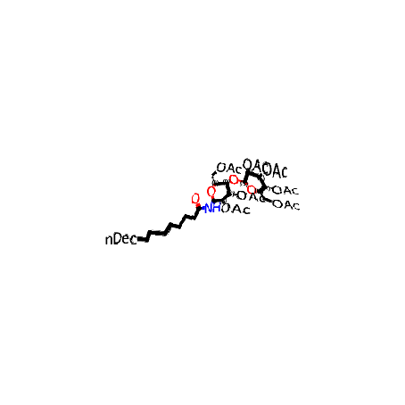 CCCCCCCCCCCCCCCCCC(=O)NC1O[C@H](COC(C)=O)[C@@H](O[C@@H]2O[C@H](COC(C)=O)[C@@H](OC(C)=O)[C@H](OC(C)=O)[C@@H]2OC(C)=O)[C@H](OC(C)=O)[C@@H]1OC(C)=O